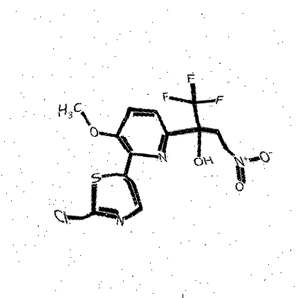 COc1ccc(C(O)(C[N+](=O)[O-])C(F)(F)F)nc1-c1cnc(Cl)s1